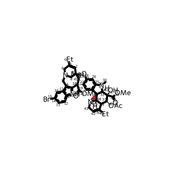 CCC1=C[C@H]2CN(C1)Cc1c([nH]c3ccc(Br)cc13)[C@@](C(=O)OC)(c1cc3c(cc1OC)N(C)[C@H]1[C@@](O)(C(=O)OC)[C@H](OC(C)=O)C4C(CC)=CCN5CC[C@]31[C@H]45)C2